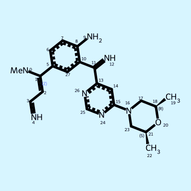 CN/C(=C\C=N)c1ccc(N)c(C(=N)c2cc(N3C[C@@H](C)O[C@@H](C)C3)ncn2)c1